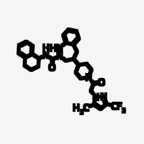 Cc1cc(C(F)(F)F)nn1CC(=O)N1CCC(C2Cc3ccccc3NN(C(=O)NC3CCCc4ccccc43)C2)CC1